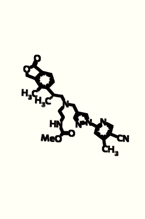 COC(=O)NCCN(Cc1cnn(-c2cc(C)c(C#N)cn2)c1)C[C@H](C)c1ccc2c(c1C)COC2=O